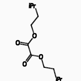 CC(C)CCOC(=O)C(=O)OCCC(C)C